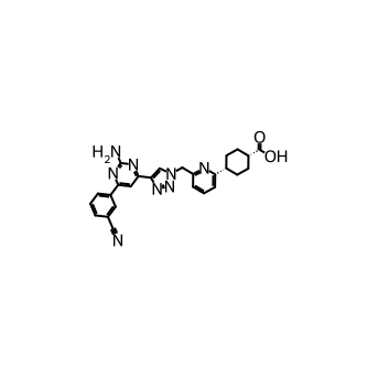 N#Cc1cccc(-c2cc(-c3cn(Cc4cccc([C@H]5CC[C@@H](C(=O)O)CC5)n4)nn3)nc(N)n2)c1